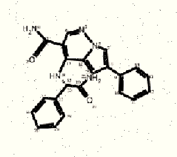 NC(=O)c1cnn2cc(-c3ccccc3)cc2c1N[C@H](C(N)=O)c1ccccc1